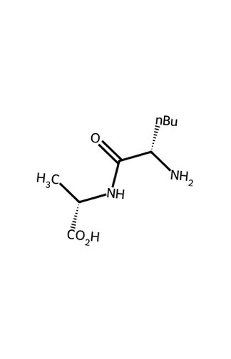 CCCC[C@H](N)C(=O)N[C@@H](C)C(=O)O